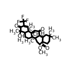 COC(=O)[C@]12CCC(C)(C)C[C@@H]1C1C(=O)C=C3[C@@]4(C)C=C(C(F)(F)F)C(=O)C(C)(C)[C@@H]4CC[C@@]3(C)[C@]1(C)CC2